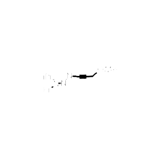 COCC#CN=NN(C(C)C)C(C)C